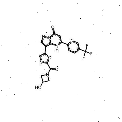 O=C(c1ncc(-c2cnn3c(=O)cc(-c4ccc(C(F)(F)F)cn4)[nH]c23)o1)N1CC(O)C1